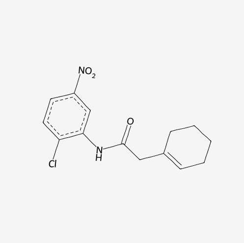 O=C(CC1=CCCCC1)Nc1cc([N+](=O)[O-])ccc1Cl